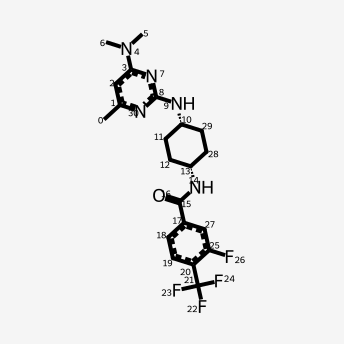 Cc1cc(N(C)C)nc(N[C@H]2CC[C@@H](NC(=O)c3ccc(C(F)(F)F)c(F)c3)CC2)n1